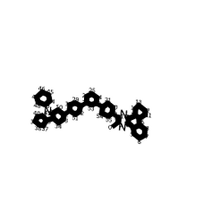 Cc1nc2c3ccccc3c3ccccc3c2nc1-c1ccc(-c2cccc(-c3ccc(-c4ccc5c6ccccc6n(-c6ccccc6)c5c4)cc3)c2)cc1